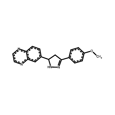 COc1ccc(C2=NNC(c3ccc4nccnc4c3)C2)cc1